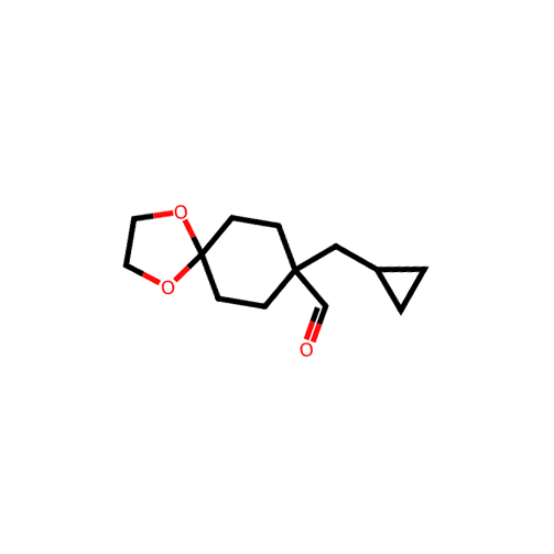 O=CC1(CC2CC2)CCC2(CC1)OCCO2